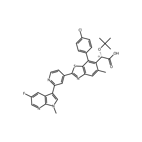 Cc1cc2nc(-c3ccnc(-c4cn(C)c5ncc(F)cc45)c3)sc2c(-c2ccc(Cl)cc2)c1[C@H](OC(C)(C)C)C(=O)O